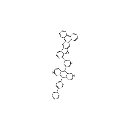 c1ccc(-c2ccc(-c3c4ccncc4c(-c4cncc(-c5cccc6c5oc5cc7c8ccccc8c8ccccc8c7cc56)c4)c4ccncc34)cc2)cc1